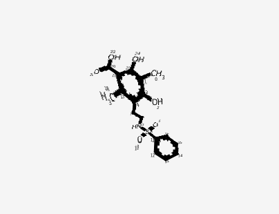 Cc1c(O)c(CCNS(=O)(=O)c2ccccc2)c(C)c(C(=O)O)c1O